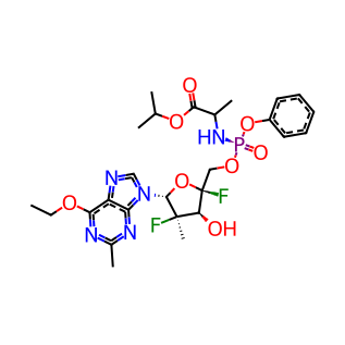 CCOc1nc(C)nc2c1ncn2[C@@H]1O[C@](F)(CO[P@](=O)(NC(C)C(=O)OC(C)C)Oc2ccccc2)[C@@H](O)[C@@]1(C)F